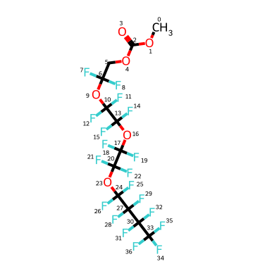 COC(=O)OCC(F)(F)OC(F)(F)C(F)(F)OC(F)(F)C(F)(F)OC(F)(F)C(F)(F)C(F)(F)C(F)(F)F